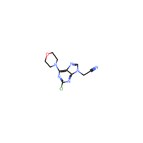 N#CCn1cnc2c(N3CCOCC3)nc(Cl)nc21